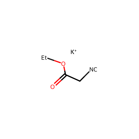 [C-]#[N+]CC(=O)OCC.[K+]